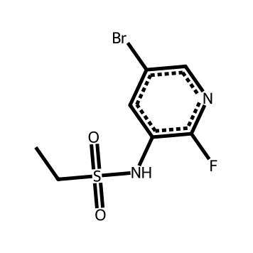 CCS(=O)(=O)Nc1cc(Br)cnc1F